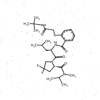 CC(C)C[C@@H](NC(=O)c1ccccc1OCC(=O)NC(C)(C)C)C(=O)N1CC(F)(F)C[C@@H]1C(=O)N(C)C(C)C